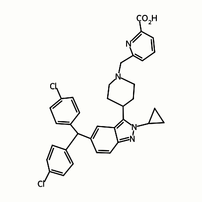 O=C(O)c1cccc(CN2CCC(c3c4cc(C(c5ccc(Cl)cc5)c5ccc(Cl)cc5)ccc4nn3C3CC3)CC2)n1